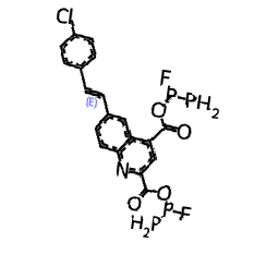 O=C(OP(F)P)c1cc(C(=O)OP(F)P)c2cc(/C=C/c3ccc(Cl)cc3)ccc2n1